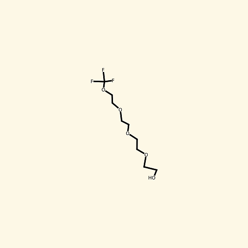 OCCOCCOCCOCCOC(F)(F)F